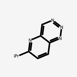 CC(C)c1ccc2nnncc2n1